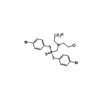 O=C(O)CN(CCCl)CP(=S)(Sc1ccc(Br)cc1)Sc1ccc(Br)cc1